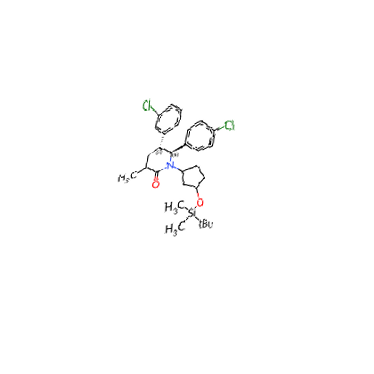 CC1C[C@H](c2cccc(Cl)c2)[C@@H](c2ccc(Cl)cc2)N(C2CCC(O[Si](C)(C)C(C)(C)C)C2)C1=O